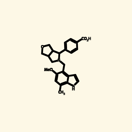 COc1cc(C)c2[nH]ccc2c1CN1CC2COCC2C1c1ccc(C(=O)O)cc1